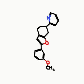 COc1cccc(-c2cc3c(o2)CC(c2ccccn2)CC3)c1